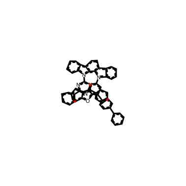 c1ccc(-c2ccc(-c3cc(-n4c5ccccc5c5ccc6c7ccccc7n(-c7nc(-c8ccccc8)nc(-c8ccccc8)n7)c6c54)cc4c3oc3ccccc34)cc2)cc1